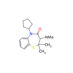 CNC1C(=O)N(C2CCCC2)c2ccccc2SC1(C)C